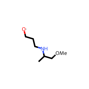 COCC(C)NCCC[O]